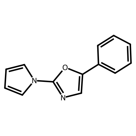 c1ccc(-c2cnc(-n3cccc3)o2)cc1